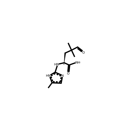 Cc1cnc(N[C@@H](CC(C)(C)C=O)C([NH])=O)[nH]1